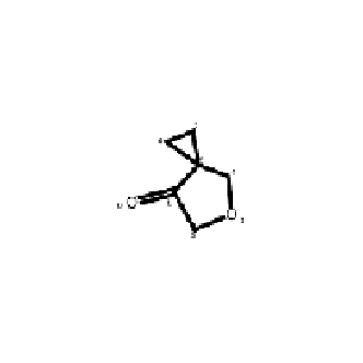 O=C1COCC12CC2